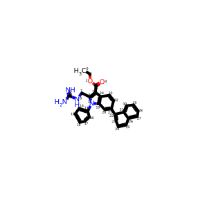 CCOC(=O)c1c(CNC(=N)N)n(-c2ccccc2)c2cc(-c3cccc4ccccc34)ccc12